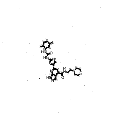 O=C(Nc1ncc(-c2cc(C(=O)NCCN3CCOCC3)c3cn[nH]c3n2)s1)Nc1cc(F)ccc1F